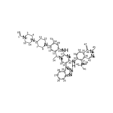 C=CN1CCN(C2CCN(c3cc(CC)c(Nc4ncc(-n5nnc6ccccc65)c(Nc5ccc6c(c5P(=C)(C)C)C=NN(C)C6=C)n4)cc3C)CC2)CC1